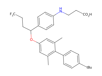 Cc1cc(OC(CCC(F)(F)F)c2ccc(NCCC(=O)O)cc2)cc(C)c1-c1ccc(C(C)(C)C)cc1